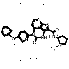 C[C@H]1CCC[C@H]1NC(=O)c1sc2nccc3c2c1NC(=O)N3c1ccc(Oc2ccccc2)cn1